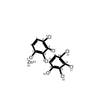 [O-]c1ccc(Cl)c(Cl)c1Cl.[O-]c1ccc(Cl)c(Cl)c1Cl.[Zn+2]